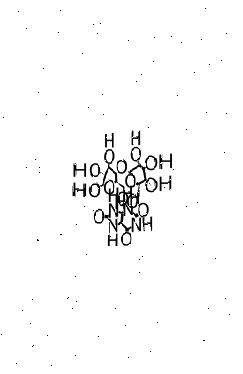 O=c1[nH]c(=O)c2[nH]c(=O)[nH]c2[nH]1.OC[C@H]1O[C@H](O[C@H]2[C@H](O)[C@@H](O)[C@H](O)O[C@@H]2CO)[C@H](O)[C@@H](O)[C@@H]1O